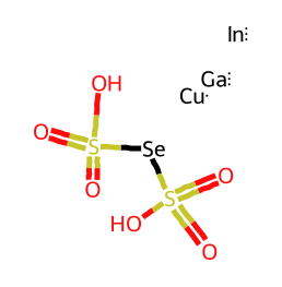 O=S(=O)(O)[Se]S(=O)(=O)O.[Cu].[Ga].[In]